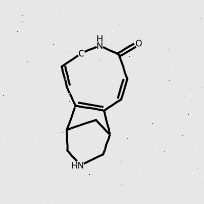 O=C1C=CC2=C(C=CCN1)C1CNCC2C1